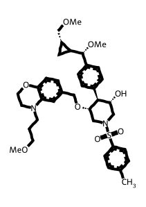 COCCCN1CCOc2ccc(CO[C@H]3CN(S(=O)(=O)c4ccc(C)cc4)C[C@@H](O)[C@@H]3c3ccc([C@@H](OC)C4C[C@@H]4COC)cc3)cc21